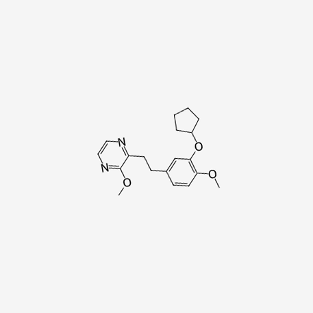 COc1ccc(CCc2nccnc2OC)cc1OC1CCCC1